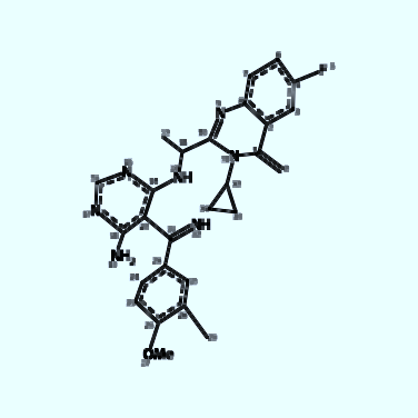 C=C1c2cc(F)ccc2N=C(C(C)Nc2ncnc(N)c2C(=N)c2ccc(OC)c(C)c2)N1C1CC1